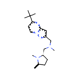 C=C1CC[C@H](CN(C)Cc2cc3nc(C(C)(C)C)ccn3n2)N1C